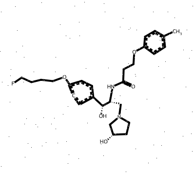 Cc1ccc(OCCC(=O)N[C@H](CN2CC[C@H](O)C2)[C@H](O)c2ccc(OCCCCF)cc2)cc1